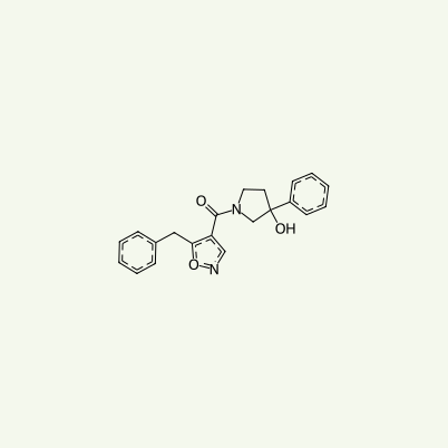 O=C(c1cnoc1Cc1ccccc1)N1CCC(O)(c2ccccc2)C1